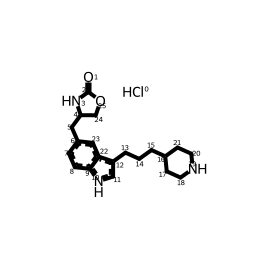 Cl.O=C1NC(Cc2ccc3[nH]cc(CCCC4CCNCC4)c3c2)CO1